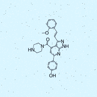 COc1ccccc1C=Cc1n[nH]c2nc(-c3ccc(O)cc3)cc(C(=O)N3CCNCC3)c12